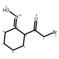 O=C(CBr)C1CCCC/C1=N\O